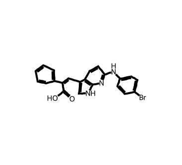 O=C(O)C(=Cc1c[nH]c2nc(Nc3ccc(Br)cc3)ccc12)c1ccccc1